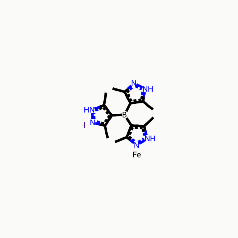 Cc1n[nH]c(C)c1B(c1c(C)n[nH]c1C)c1c(C)n[nH]c1C.[Fe].[I]